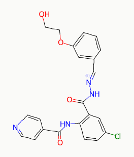 O=C(Nc1ccc(Cl)cc1C(=O)N/N=C/c1cccc(OCCO)c1)c1ccncc1